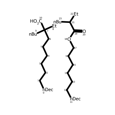 CCCCCCCCCCCCCCCCC(CC)(CCCC)C(=O)O.CCCCCCCCCCCCCCCCOC(=O)C(CC)CCCC